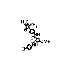 CO[C@@H]1C[C@H](C(=O)Nc2ccc(-n3c(=O)cc(C)n3C)cc2)N(C(=O)Nc2ccc(Cl)cc2)C1